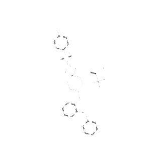 O=C(O)C(F)(F)F.O=S(=O)(c1ccc(Cl)cc1)N1CC2(CCN(Cc3ccccc3Oc3ccccc3)CC2)C1